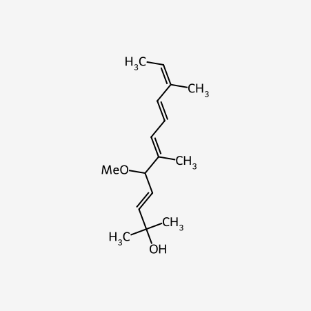 C\C=C(C)/C=C/C=C(\C)C(/C=C/C(C)(C)O)OC